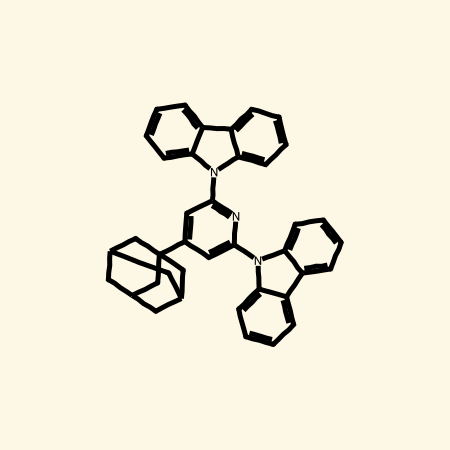 c1ccc2c(c1)c1ccccc1n2-c1cc(C23CC4CC(CC(C4)C2)C3)cc(-n2c3ccccc3c3ccccc32)n1